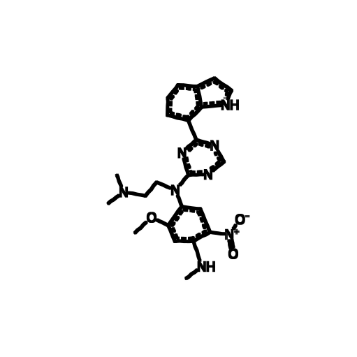 CNc1cc(OC)c(N(CCN(C)C)c2ncnc(-c3cccc4cc[nH]c34)n2)cc1[N+](=O)[O-]